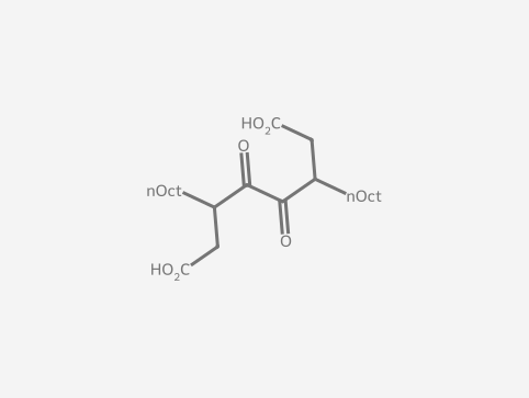 CCCCCCCCC(CC(=O)O)C(=O)C(=O)C(CCCCCCCC)CC(=O)O